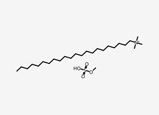 CCCCCCCCCCCCCCCCCCCCCC[N+](C)(C)C.COS(=O)(=O)O